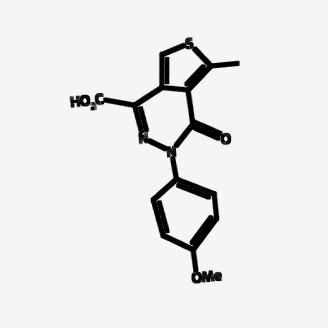 COc1ccc(-n2nc(C(=O)O)c3csc(C)c3c2=O)cc1